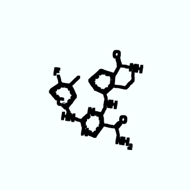 Cc1cc(Nc2ncc(C(N)=O)c(Nc3cccc4c3CCNC4=O)n2)ccc1F